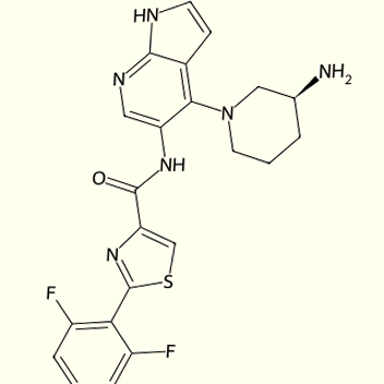 N[C@H]1CCCN(c2c(NC(=O)c3csc(-c4c(F)cccc4F)n3)cnc3[nH]ccc23)C1